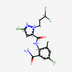 Cc1cc(Cl)cc(C(N)=O)c1NC(=O)c1cc(Br)nn1CCC(F)F